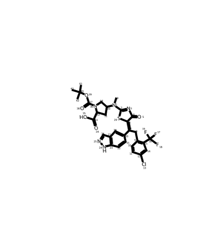 CN(C1=NC(=O)C(=C(Cc2ccc(Cl)cc2C(F)(F)F)c2ccc3[nH]ncc3c2)S1)C1CC(C(=O)O)N(C(=O)OC(C)(C)C)C1